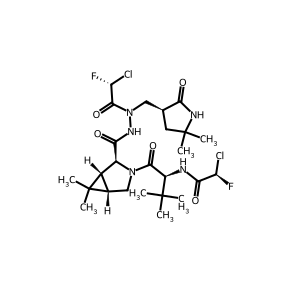 CC1(C)C[C@@H](CN(NC(=O)[C@@H]2[C@@H]3[C@H](CN2C(=O)[C@@H](NC(=O)[C@H](F)Cl)C(C)(C)C)C3(C)C)C(=O)[C@H](F)Cl)C(=O)N1